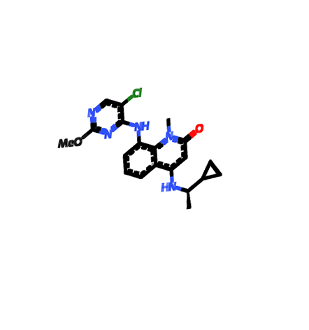 COc1ncc(Cl)c(Nc2cccc3c(N[C@H](C)C4CC4)cc(=O)n(C)c23)n1